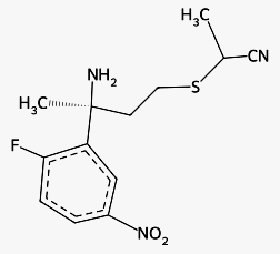 CC(C#N)SCC[C@](C)(N)c1cc([N+](=O)[O-])ccc1F